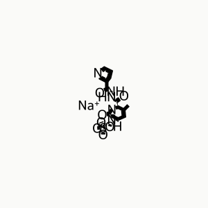 CC1=C[C@@H]2CN(C(=O)N2OS(=O)(=O)[O-])[C@@H]1C(=O)NNC(=O)c1cccnc1.[Na+]